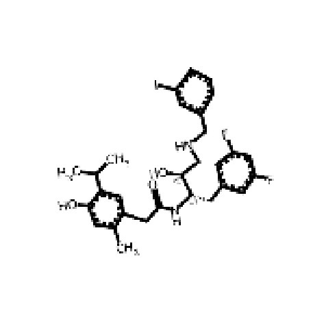 Cc1cc(O)c(C(C)C)cc1CC(=O)N[C@@H](Cc1cc(F)cc(F)c1)[C@@H](O)CNCc1cccc(I)c1